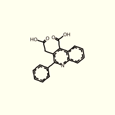 O=C(O)Cc1c(-c2ccccc2)nc2ccccc2c1C(=O)O